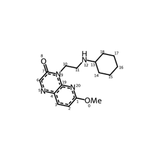 COc1ccc2ncc(=O)n(CCNC3CCCCC3)c2n1